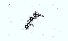 N#CCCNc1nc(Nc2cccc(NC(=O)C(N)Cc3ccccc3)c2)ncc1Br